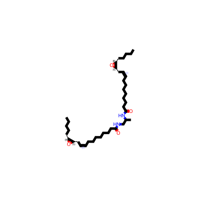 CCCCC[C@H]1O[C@H]1C/C=C\CCCCCCCC(=O)NCC(C)NC(=O)CCCCCCC/C=C\C[C@@H]1O[C@@H]1CCCCC